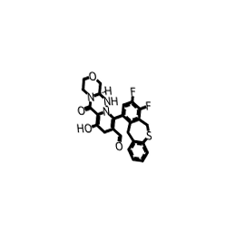 O=CC1=C(c2cc(F)c(F)c3c2Cc2ccccc2SC3)N2N[C@@H]3COCCN3C(=O)C2=C(O)C1